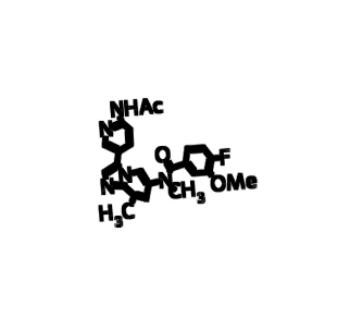 COc1cc(C(=O)N(C)c2cc(C)c3ncc(-c4ccc(NC(C)=O)nc4)n3c2)ccc1F